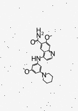 COc1cc(Nc2ccnc3cc(OC)c(C(N)=O)cc23)cc(N2CCCCC2)c1